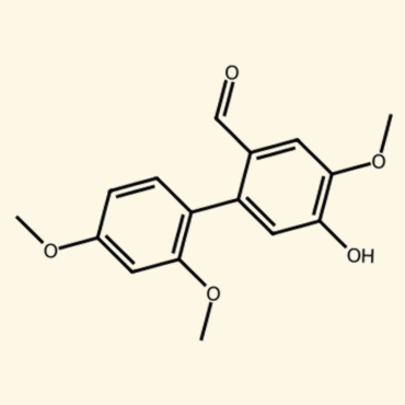 COc1ccc(-c2cc(O)c(OC)cc2C=O)c(OC)c1